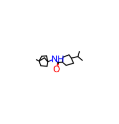 CC(C)C1CCC(C(=O)NC23CCC(C)(CC2)C3)CC1